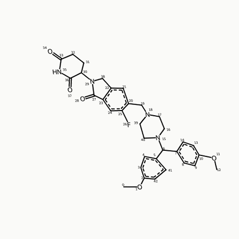 COc1ccc(C(c2ccc(OC)cc2)N2CCN(Cc3cc4c(cc3F)C(=O)N(C3CCC(=O)NC3=O)C4)CC2)cc1